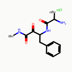 CCCCC(N)C(=O)NC(Cc1ccccc1)C(=O)C(=O)NC(C)(C)C.Cl